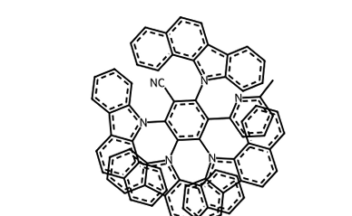 Cc1cccc(-c2c(-n3c4ccccc4c4ccc5ccccc5c43)c(C#N)c(-n3c4ccccc4c4ccc5ccccc5c43)c(-n3c4ccccc4c4ccc5ccccc5c43)c2-n2c3ccccc3c3ccc4ccccc4c32)n1